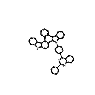 c1ccc(-c2nc(-c3ccc(-n4c5ccccc5c5c6ccccc6c6c(ccc7sc8ccccc8c76)c54)cc3)c3ccccc3n2)cc1